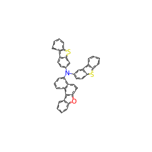 c1ccc2c(c1)oc1ccc3c(N(c4ccc5c(c4)sc4ccccc45)c4ccc5sc6ccccc6c5c4)cccc3c12